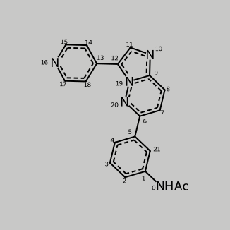 CC(=O)Nc1cccc(-c2ccc3ncc(-c4ccncc4)n3n2)c1